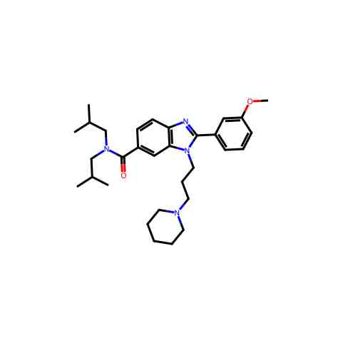 COc1cccc(-c2nc3ccc(C(=O)N(CC(C)C)CC(C)C)cc3n2CCCN2CCCCC2)c1